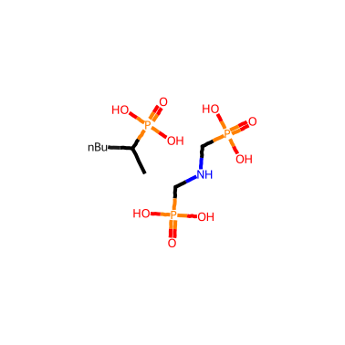 CCCCC(C)P(=O)(O)O.O=P(O)(O)CNCP(=O)(O)O